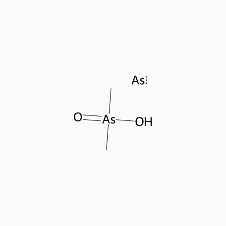 C[As](C)(=O)O.[As]